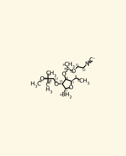 B[C@@H]1O[C@H](CC)C(OP(C)OCC[N+]#[C-])[C@@H]1OCC(C)(C)OC